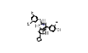 O=C(/N=C(/Nc1cc(F)cc(Cl)c1)Nc1cc(C2CCC2)[nH]n1)c1ccc(Cl)c(F)c1